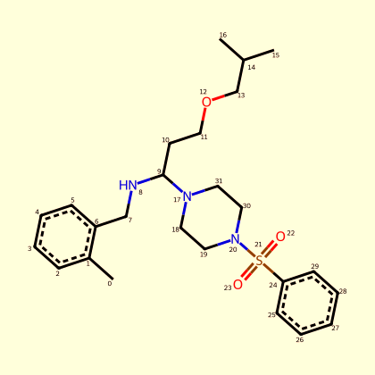 Cc1ccccc1CNC(CCOCC(C)C)N1CCN(S(=O)(=O)c2ccccc2)CC1